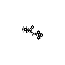 CC(C)(COC(c1ccccc1)(c1ccccc1)c1ccccc1)C(=O)SCCOP(=O)(NCc1ccccc1)Oc1c(F)c(F)c(F)c(F)c1F